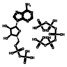 Nc1ncnc2c1ncn2[C@@H]1O[C@H](COP(=O)(O)OP(=O)(O)O)[C@@H](O)[C@H]1O.O=P(O)(O)OP(=O)(O)OP(=O)(O)OP(=O)(O)OP(=O)(O)O